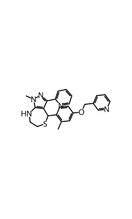 Cc1cc(OCc2cccnc2)ccc1C1SCCNc2c1c(-c1ccccn1)nn2C